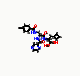 Cc1ccc(C(=O)NC[C@H](NC(=O)c2cnccn2)C(=O)N[C@@H](CC2CCC2)B(O)O)cc1